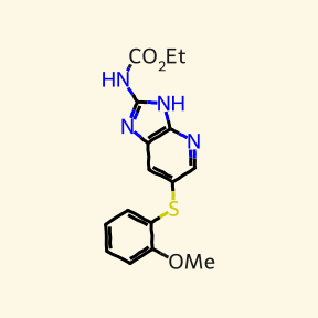 CCOC(=O)Nc1nc2cc(Sc3ccccc3OC)cnc2[nH]1